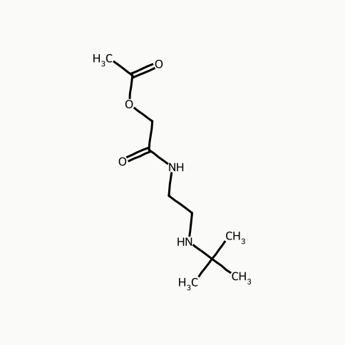 CC(=O)OCC(=O)NCCNC(C)(C)C